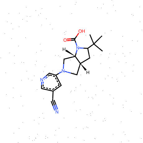 CC(C)(C)C1C[C@@H]2CN(c3cncc(C#N)c3)C[C@@H]2N1C(=O)O